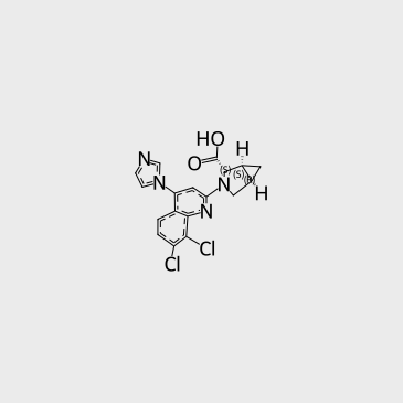 O=C(O)[C@@H]1[C@H]2C[C@H]2CN1c1cc(-n2ccnc2)c2ccc(Cl)c(Cl)c2n1